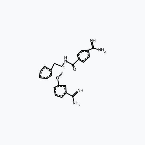 N=C(N)c1ccc(C(=O)N[C@H](COc2cccc(C(=N)N)c2)Cc2ccccc2)cc1